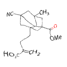 C=C(CCC12CC3(C)CC(C#N)(C1)CC(C(=O)OC)(C3)C2)C(=O)O